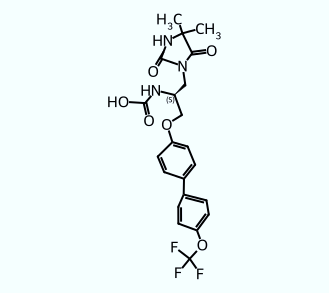 CC1(C)NC(=O)N(C[C@@H](COc2ccc(-c3ccc(OC(F)(F)F)cc3)cc2)NC(=O)O)C1=O